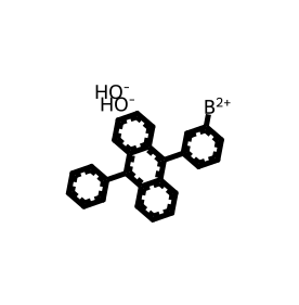 [B+2]c1cccc(-c2c3ccccc3c(-c3ccccc3)c3ccccc23)c1.[OH-].[OH-]